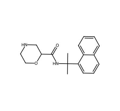 CC(C)(NC(=O)C1CNCCO1)c1cccc2ccccc12